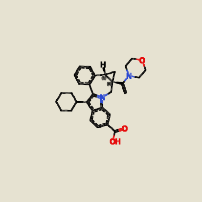 C=C(N1CCOCC1)[C@]12C[C@H]1c1ccccc1-c1c(C3CCCCC3)c3ccc(C(=O)O)cc3n1C2